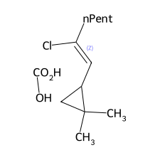 CCCCC/C(Cl)=C/C1CC1(C)C.O=C(O)O